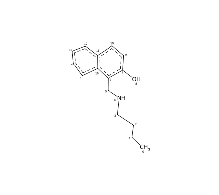 CCCCNCc1c(O)ccc2ccccc12